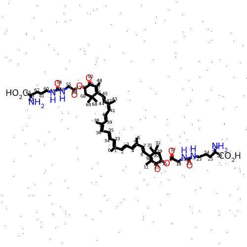 CC(C=CC=C(C)C=CC1=C(C)C(=O)C(OC(=O)CNC(=O)NCCCC(N)C(=O)O)CC1(C)C)=CC=CC=C(C)C=CC=C(C)C=CC1=C(C)C(=O)C(OC(=O)CNC(=O)NCCCC(N)C(=O)O)CC1(C)C